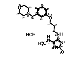 CNc1n[s+]([O-])nc1NCCCOc1cccc(CN2CCOCC2)c1.Cl